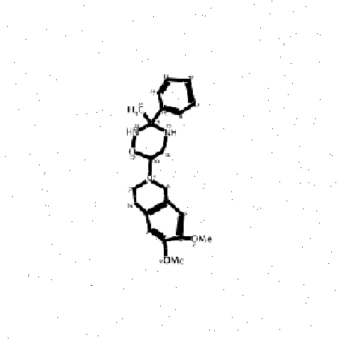 COc1cc2c(cc1OC)CN(C1CNC(C)(c3ccccc3)NO1)CC2